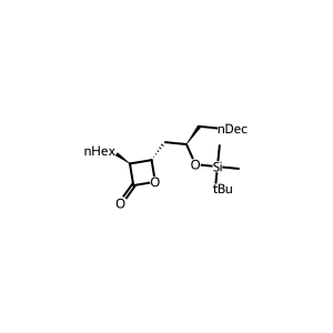 CCCCCCCCCCC[C@H](C[C@@H]1OC(=O)[C@H]1CCCCCC)O[Si](C)(C)C(C)(C)C